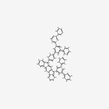 c1ccc(-c2cccc(-c3cc(-c4ccc(-n5c6ccccc6c6cc7c8ccccc8n(-c8nc(-c9ccccc9)nc(-c9ccccc9)n8)c7cc65)cc4)nc(-c4ccccc4)n3)c2)cc1